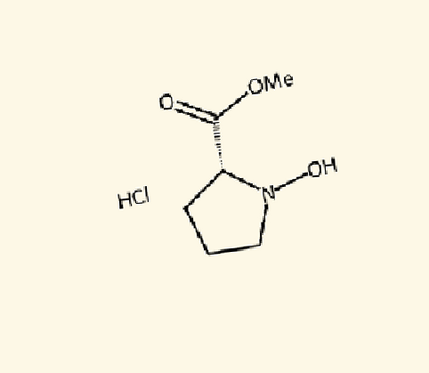 COC(=O)[C@H]1CCCN1O.Cl